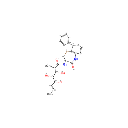 CO[C@@H](C(=O)NC1CSc2c(cccc2-c2ccccc2)NC1=O)[C@H](O)[C@@H](O)[C@H](O)/C=C/C(C)(C)C